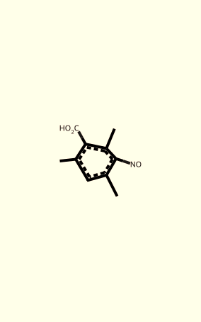 Cc1cc(C)c(C(=O)O)c(C)c1N=O